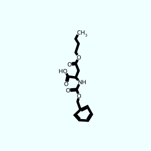 CCCCOC(=O)CC(NC(=O)OCc1ccccc1)C(=O)O